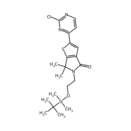 CC1(C)c2sc(-c3ccnc(Cl)n3)cc2C(=O)N1CCO[Si](C)(C)C(C)(C)C